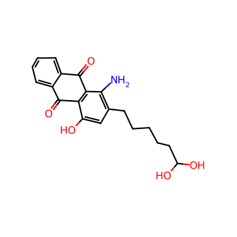 Nc1c(CCCCCC(O)O)cc(O)c2c1C(=O)c1ccccc1C2=O